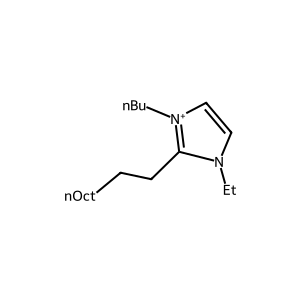 CCCCCCCCCCc1n(CC)cc[n+]1CCCC